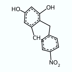 Cc1cc(O)cc(O)c1Cc1ccc([N+](=O)[O-])cc1